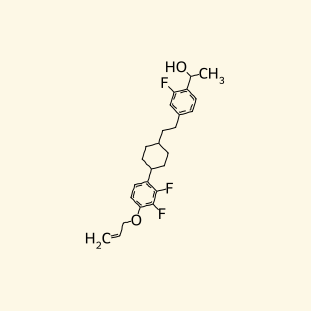 C=CCOc1ccc(C2CCC(CCc3ccc(C(C)O)c(F)c3)CC2)c(F)c1F